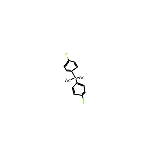 CC(=O)[Si](C(C)=O)(c1ccc(F)cc1)c1ccc(F)cc1